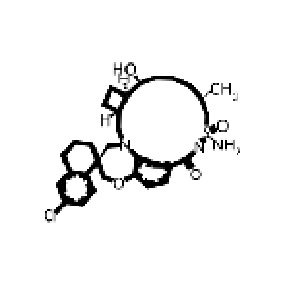 C[C@H]1CCC[C@H](O)[C@@H]2CC[C@H]2CN2C[C@@]3(CCCc4cc(Cl)ccc43)COc3ccc(cc32)C(=O)N=[S@@](N)(=O)C1